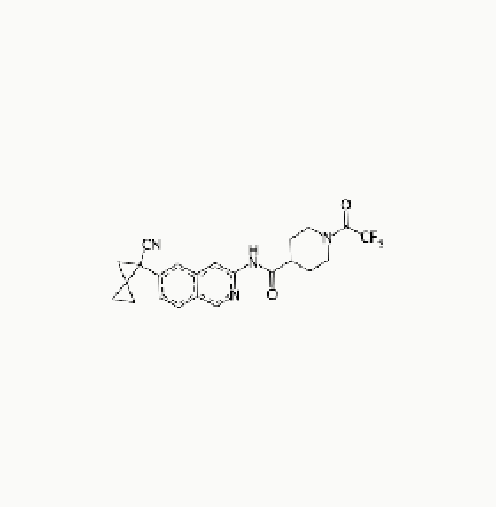 N#CC1(c2ccc3cnc(NC(=O)C4CCN(C(=O)C(F)(F)F)CC4)cc3c2)CC12CC2